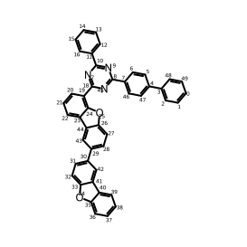 c1ccc(-c2ccc(-c3nc(-c4ccccc4)nc(-c4cccc5c4oc4ccc(-c6ccc7oc8ccccc8c7c6)cc45)n3)cc2)cc1